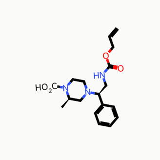 C=CCOC(=O)NC[C@@H](c1ccccc1)N1CCN(C(=O)O)[C@H](C)C1